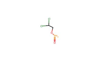 O=[PH2]OCC(Cl)Cl